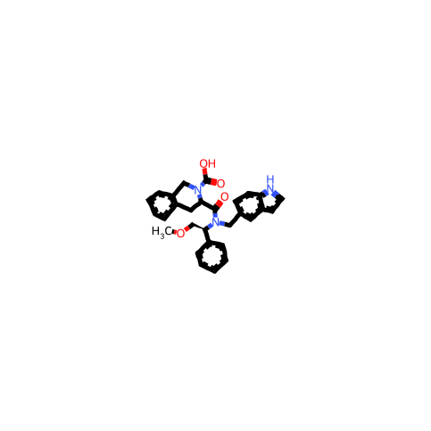 COC[C@H](c1ccccc1)N(Cc1ccc2[nH]ccc2c1)C(=O)C1Cc2ccccc2CN1C(=O)O